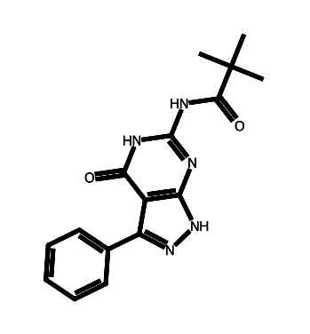 CC(C)(C)C(=O)Nc1nc2[nH]nc(-c3ccccc3)c2c(=O)[nH]1